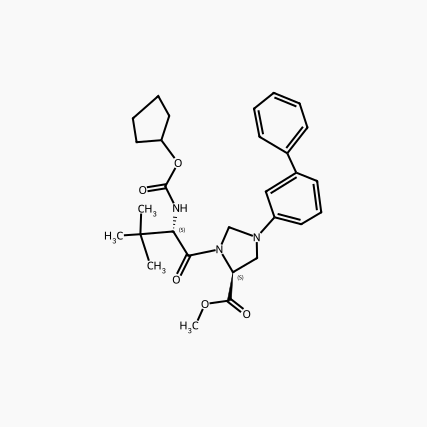 COC(=O)[C@@H]1CN(c2cccc(-c3ccccc3)c2)CN1C(=O)[C@@H](NC(=O)OC1CCCC1)C(C)(C)C